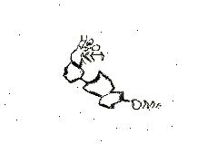 COc1ccc2cc(-c3cccc4c3NS(=O)(=O)NC4)ccc2c1